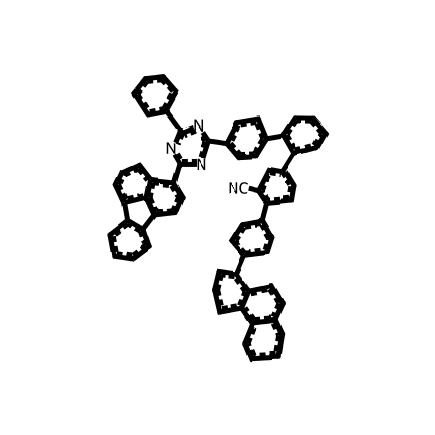 N#Cc1cc(-c2ccccc2-c2ccc(-c3nc(-c4ccccc4)nc(-c4ccc5c6c(cccc46)-c4ccccc4-5)n3)cc2)ccc1-c1ccc(-c2cccc3c2ccc2ccccc23)cc1